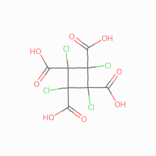 O=C(O)C1(Cl)C(Cl)(C(=O)O)C(Cl)(C(=O)O)C1(Cl)C(=O)O